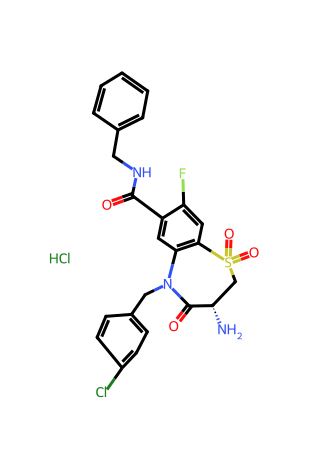 Cl.N[C@H]1CS(=O)(=O)c2cc(F)c(C(=O)NCc3ccccc3)cc2N(Cc2ccc(Cl)cc2)C1=O